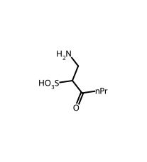 CCCC(=O)C(CN)S(=O)(=O)O